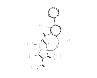 C[C@@H]1C[C@H](O)I2(O)(C(=O)C(C(N)=O)=C(O)[C@H]2N(C)C)/C(O)=C/C(=O)c2c1ccc(-c1ccccc1)c2O